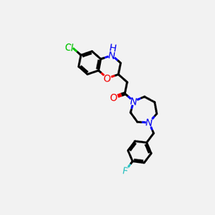 O=C(CC1CNc2cc(Cl)ccc2O1)N1CCCN(Cc2ccc(F)cc2)CC1